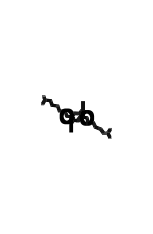 CC(C)CCCCCOc1cc(I)c(OCCCCCC(C)C)cc1I